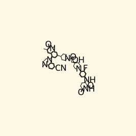 Cc1cc2c(N3CCN(C)c4ccc(C#N)cc43)cc(C3CCN(C(=O)CC4(O)CCN(c5ccc(NC6CCC(=O)NC6=O)cc5F)CC4)CC3)cc2n(C)c1=O